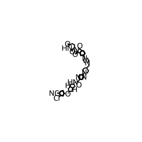 N#Cc1ccc(O[C@H]2C[C@H]3C[C@@H](NC(=O)c4cnc(N5CCC(CN6CCN(c7ccc8c(c7)C(=O)N(C7CCC(=O)NC7=O)C8=O)CC6)CC5)cn4)C[C@H]3C2)cc1Cl